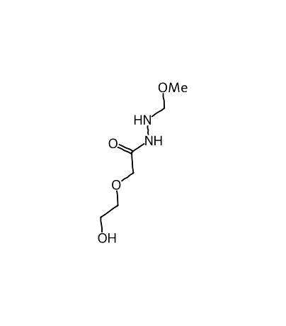 COCNNC(=O)COCCO